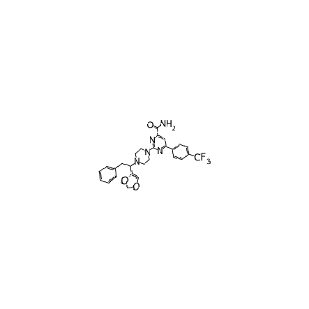 NC(=O)c1cc(-c2ccc(C(F)(F)F)cc2)nc(N2CCN(C(Cc3ccccc3)C3=COCO3)CC2)n1